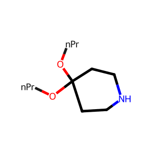 CCCOC1(OCCC)CCNCC1